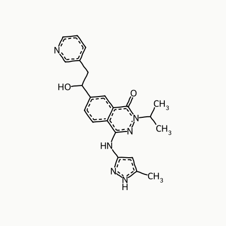 Cc1cc(Nc2nn(C(C)C)c(=O)c3cc(C(O)Cc4cccnc4)ccc23)n[nH]1